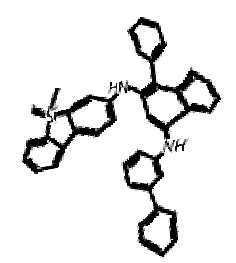 C[Si]1(C)c2ccccc2-c2ccc(Nc3cc(Nc4cccc(-c5ccccc5)c4)c4ccccc4c3-c3ccccc3)cc21